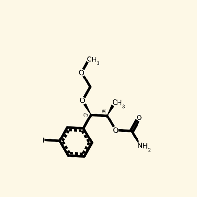 COCO[C@H](c1cccc(I)c1)[C@@H](C)OC(N)=O